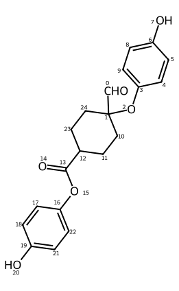 O=CC1(Oc2ccc(O)cc2)CCC(C(=O)Oc2ccc(O)cc2)CC1